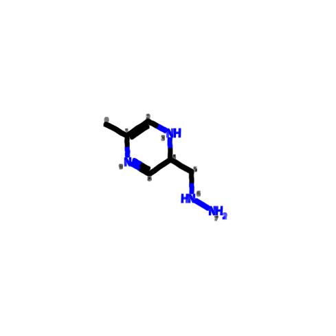 CC1=CNC(CNN)C=N1